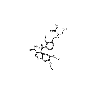 CCOc1cc2ncc(C(N)=O)c(Nc3cccc(CNC(CO)C(=O)OC)c3CC)c2cc1OCC